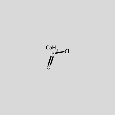 O=PCl.[CaH2]